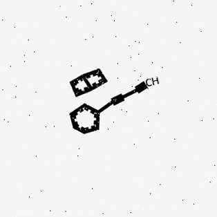 C#CC#Cc1ccccc1.c1cc2ccc1-2